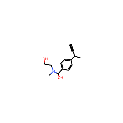 C#CC(C)c1ccc(C(O)N(C)CCO)cc1